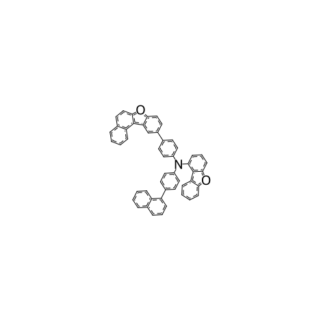 c1ccc2c(-c3ccc(N(c4ccc(-c5ccc6oc7ccc8ccccc8c7c6c5)cc4)c4cccc5oc6ccccc6c45)cc3)cccc2c1